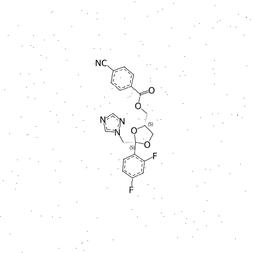 N#Cc1ccc(C(=O)OC[C@@H]2CO[C@@](Cn3cncn3)(c3ccc(F)cc3F)O2)cc1